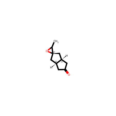 CC1O[C@]12C[C@H]1CC(=O)C[C@H]1C2